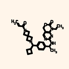 C=CC(=O)N1CC2(C1)CN(C(c1ccc([C@H](C)Nc3ncc4c(n3)N(CC)C(=O)OC4)cc1)C1CCC1)C2